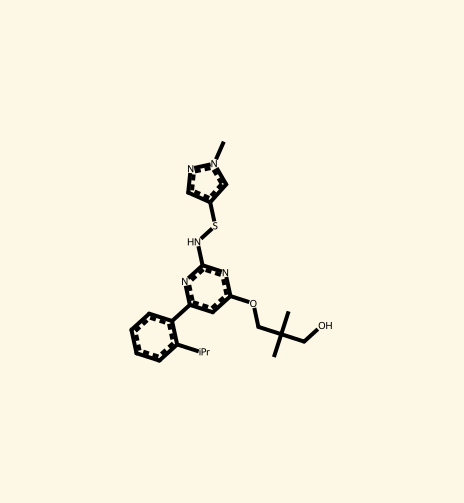 CC(C)c1ccccc1-c1cc(OCC(C)(C)CO)nc(NSc2cnn(C)c2)n1